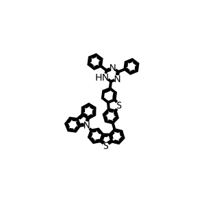 C1=C(C2N=C(c3ccccc3)N=C(c3ccccc3)N2)C=C2Sc3cc(-c4cccc5sc6ccc(-n7c8ccccc8c8ccccc87)cc6c45)ccc3C2C1